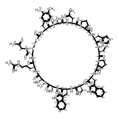 CCCC[C@H]1C(=O)N(C)[C@@H](CCCC)C(=O)N[C@@H](CCCNC(=N)N)C(=O)N[C@H](C(=O)NCC(N)=O)CSCC(=O)N[C@@H](Cc2ccc(C)c(C)c2)C(=O)N(C)[C@@H](C)C(=O)N[C@@H](CC(N)=O)C(=O)N2CCC[C@H]2C(=O)N[C@@H](Cc2cnc[nH]2)C(=O)N[C@@H](CC(C)C)C(=O)N2CCC[C@H]2C(=O)N[C@@H](Cc2c[nH]c3ccccc23)C(=O)N[C@@H](CO)C(=O)N[C@@H](Cc2c[nH]c3ccccc23)C(=O)N1C